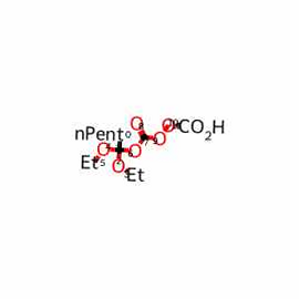 CCCCCC(OCC)(OCC)OC(=O)OOC(=O)O